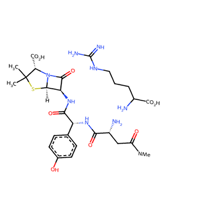 CNC(=O)C[C@@H](N)C(=O)N[C@@H](C(=O)N[C@@H]1C(=O)N2[C@@H]1SC(C)(C)[C@@H]2C(=O)O)c1ccc(O)cc1.N=C(N)NCCCC(N)C(=O)O